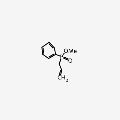 C=CCP(=O)(OC)c1ccccc1